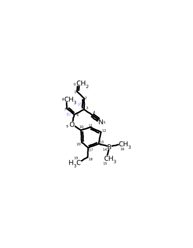 C=C/C=C(C#N)\C(=C/C)Oc1ccc(B(C)C)c(CC)c1